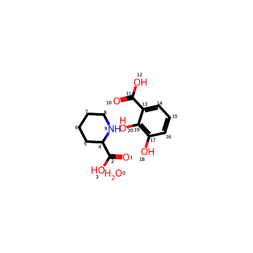 O.O=C(O)C1CCCCN1.O=C(O)c1cccc(O)c1O